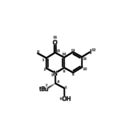 Cc1cn([C@H](CO)C(C)(C)C)c2ccc(I)cc2c1=O